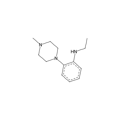 CCNc1ccccc1N1CCN(C)CC1